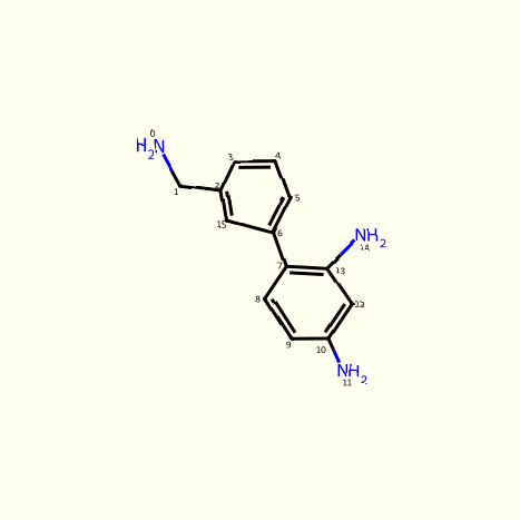 NCc1cccc(-c2ccc(N)cc2N)c1